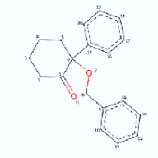 O=C1CCCCC1(OCc1ccccc1)c1ccccc1